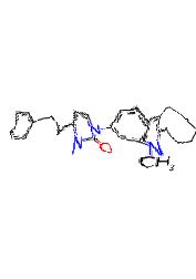 Cn1c2c(c3ccc(-n4ccc(CCc5ccccc5)nc4=O)cc31)CCCCC2